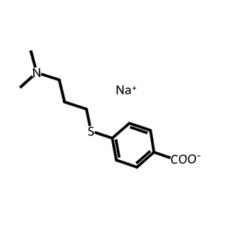 CN(C)CCCSc1ccc(C(=O)[O-])cc1.[Na+]